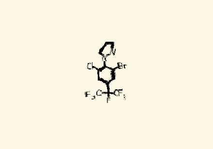 FC(F)(F)C(F)(c1cc(Cl)c(-n2cccn2)c(Br)c1)C(F)(F)F